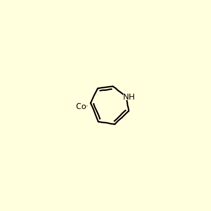 C1=CC=CNC=C1.[Co]